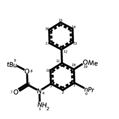 CCCc1cc(N(N)C(=O)OC(C)(C)C)cc(-c2ccccc2)c1OC